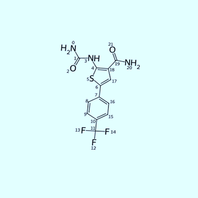 NC(=O)Nc1sc(-c2ccc(C(F)(F)F)cc2)cc1C(N)=O